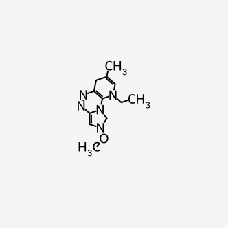 CCN1C=C(C)CC2=C1N1CN(OC)C=C1N=N2